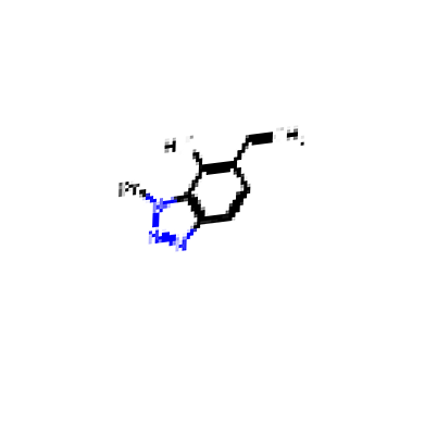 C=Cc1ccc2nnn(C(C)C)c2c1C